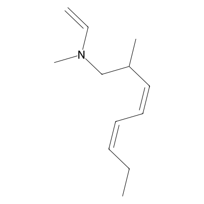 C=CN(C)CC(C)/C=C\C=C/CC